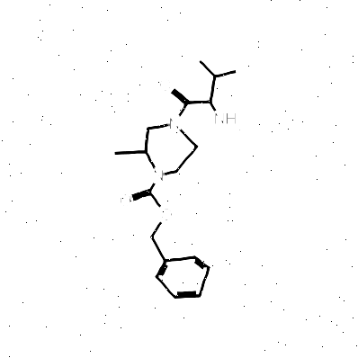 CC(C)C(N)C(=O)N1CCN(C(=O)OCc2ccccc2)C(C)C1